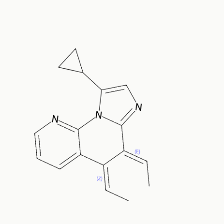 C/C=c1\c(=C/C)c2ncc(C3CC3)n2c2ncccc12